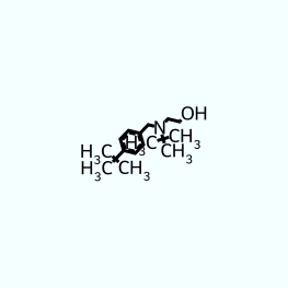 CC(C)(C)c1ccc(CN(CCO)C(C)(C)C)cc1